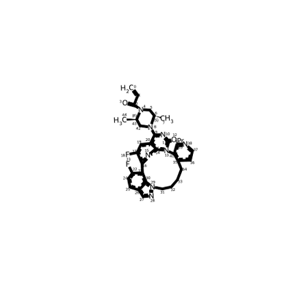 C=CC(=O)N1C[C@H](C)N(c2nc(=O)n3c4nc(c(F)cc24)-c2c(F)ccc4cnn(c24)CCCCc2ccnc(C(C)C)c2-3)C[C@H]1C